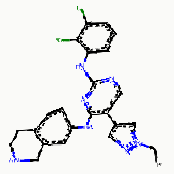 CC(C)Cn1cc(-c2cnc(Nc3cccc(Cl)c3Cl)nc2Nc2ccc3c(c2)CNCC3)cn1